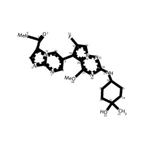 CNC(=O)c1cnc2ncc(-c3c(F)cn4nc(NC5CCC(C)(O)CC5)nc(OC)c34)cn12